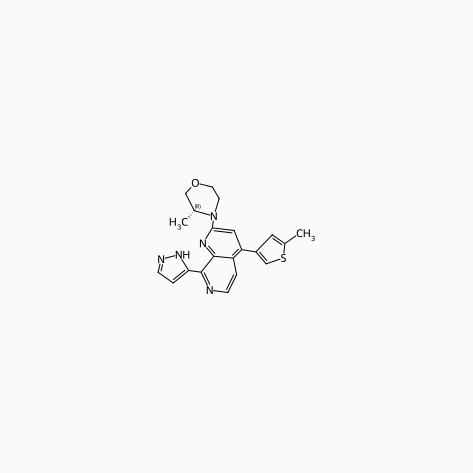 Cc1cc(-c2cc(N3CCOC[C@H]3C)nc3c(-c4ccn[nH]4)nccc23)cs1